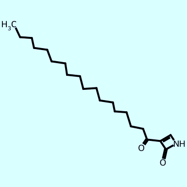 CCCCCCCCCCCCCCCCCC(=O)C1=CNC1=O